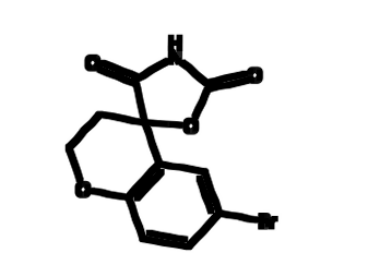 O=C1NC(=O)C2(CCOc3ccc(Br)cc32)O1